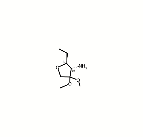 CC[C@@H]1OCC(OC)(OC)[C@H]1N